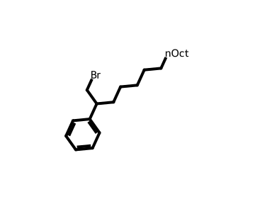 CCCCCCCCCCCCCC(CBr)c1ccccc1